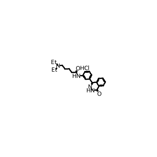 CCN(CC)CCCCC(=O)Nc1cccc(-c2n[nH]c(=O)c3ccccc23)c1.Cl